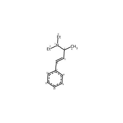 CCN(CC)C(C)C=Cc1ccccc1